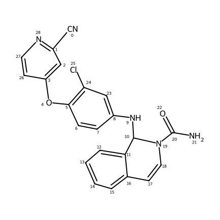 N#Cc1cc(Oc2ccc(NC3c4ccccc4C=CN3C(N)=O)cc2Cl)ccn1